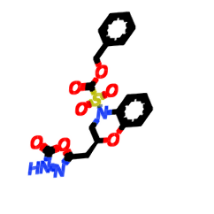 O=C(OCc1ccccc1)S(=O)(=O)N1C[C@H](Cc2n[nH]c(=O)o2)Oc2ccccc21